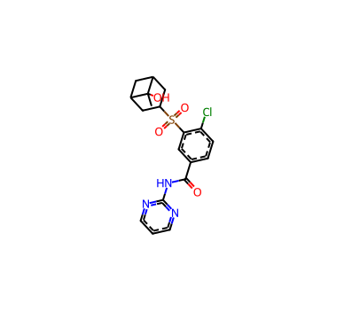 CC1(O)C2CC1CC(S(=O)(=O)c1cc(C(=O)Nc3ncccn3)ccc1Cl)C2